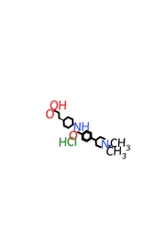 CC(C)N1CCC(c2ccc(C(=O)N[C@H]3CC[C@H](CCC(=O)O)CC3)cc2)CC1.Cl